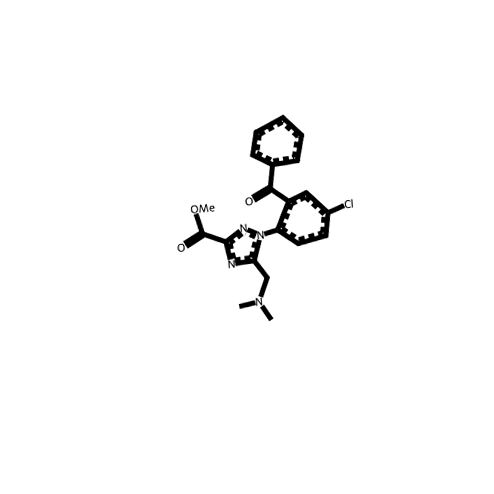 COC(=O)c1nc(CN(C)C)n(-c2ccc(Cl)cc2C(=O)c2ccccc2)n1